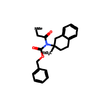 CCOC(=O)C1(N(C(=O)CNC)C(=O)OCc2ccccc2)CCc2ccccc2C1